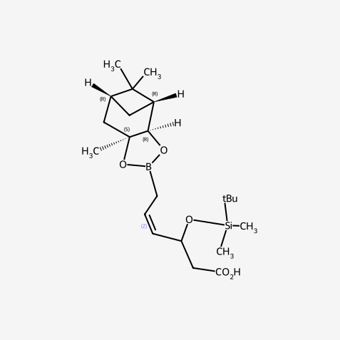 CC1(C)[C@@H]2C[C@H]1[C@H]1OB(C/C=C\C(CC(=O)O)O[Si](C)(C)C(C)(C)C)O[C@@]1(C)C2